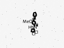 COc1cc2c(Nc3ccc(Cl)c(Cl)c3)ncnc2cc1OCC1CC2CCC(C1)N2